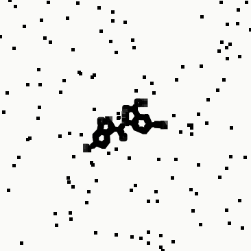 N#Cc1ccc(NC(=O)c2noc3cc(Br)ccc23)c(C(=O)O)c1